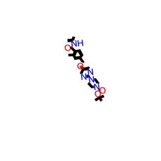 C=C(C)NC(=O)c1ccc(COc2cnc(N3CCN(C(=O)OC(C)(C)C)CC3)nc2)cc1C